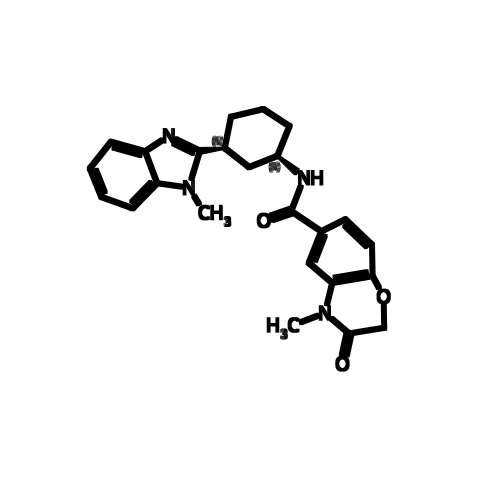 CN1C(=O)COc2ccc(C(=O)N[C@@H]3CCC[C@H](c4nc5ccccc5n4C)C3)cc21